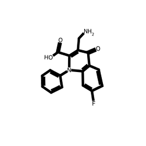 NCc1c(C(=O)O)n(-c2ccccc2)c2cc(F)ccc2c1=O